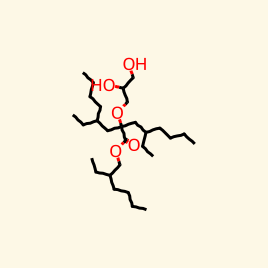 CCCCC(CC)COC(=O)C(CC(CC)CCCC)(CC(CC)CCCC)OCC(O)CO